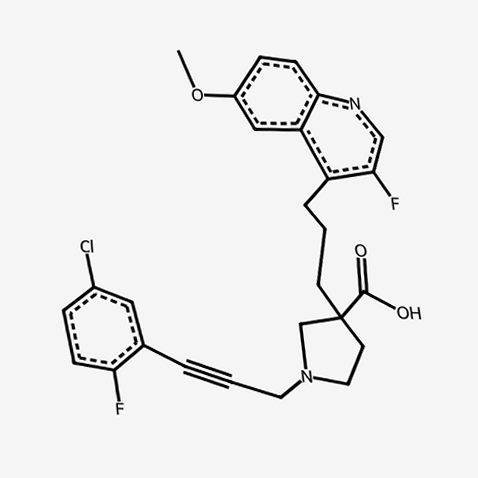 COc1ccc2ncc(F)c(CCCC3(C(=O)O)CCN(CC#Cc4cc(Cl)ccc4F)C3)c2c1